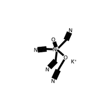 N#C[O][Ni-](=[O])([C]#N)([C]#N)[C]#N.[K+]